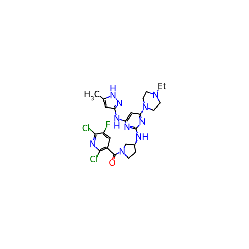 CCN1CCN(c2cc(Nc3cc(C)[nH]n3)nc(N[C@H]3CCN(C(=O)c4cc(F)c(Cl)nc4Cl)C3)n2)CC1